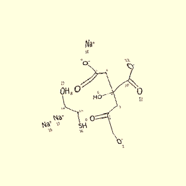 O=C([O-])CC(O)(CC(=O)[O-])C(=O)[O-].OCCS.[Na+].[Na+].[Na+]